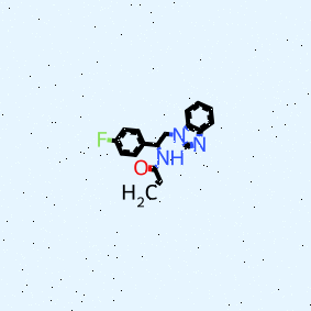 C=CC(=O)NC(Cn1cnc2ccccc21)c1ccc(F)cc1